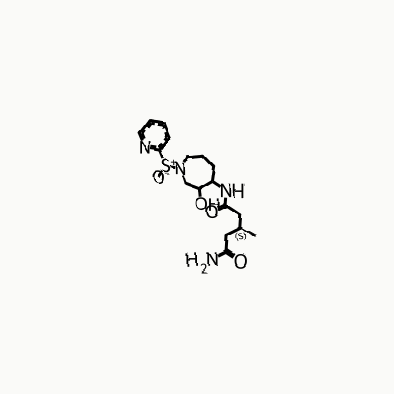 C[C@@H](CC(N)=O)CC(=O)NC1CCCN([S+]([O-])c2ccccn2)CC1O